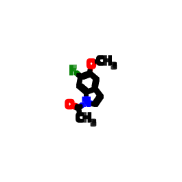 COc1cc2ccn(C(C)=O)c2cc1F